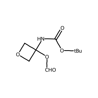 CC(C)(C)OC(=O)NC1(OC=O)COC1